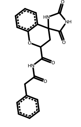 O=C(Cc1ccccc1)NC(=O)C1CC2(NC(=O)NC2=O)c2ccccc2O1